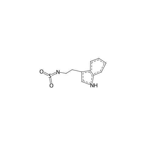 O=S(=O)=NCCc1c[nH]c2ccccc12